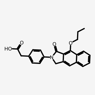 CCCOc1c2c(cc3ccccc13)CN(c1ccc(CC(=O)O)cc1)C2=O